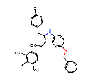 Cc1c(C(=O)O)cccc1C(=O)O.O=C(O)CC1c2cc(OCc3ccccc3)ccc2NC1Cc1ccc(Cl)cc1